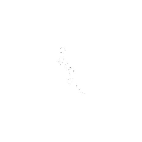 COC(=O)C=Cc1ccc(C)c(-c2ccnc(NC(=O)c3nnc(Cc4ccccc4)[nH]3)c2)c1